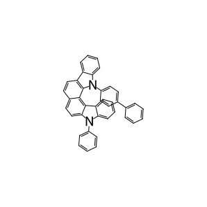 c1ccc(-c2ccc(-n3c4ccccc4c4ccc5ccc6c(c7ccccc7n6-c6ccccc6)c5c43)cc2)cc1